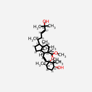 COC1O[C@]2(C=C[C@H]3[C@]4(C)CCC([C@H](C)C/C=C/C(C)(C)O)[C@@]4(C)CC[C@]13C)[C@H](C)CC[C@H](O)C2(C)C